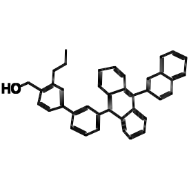 CCCc1cc(-c2cccc(-c3c4ccccc4c(-c4ccc5ccccc5c4)c4ccccc34)c2)ccc1CO